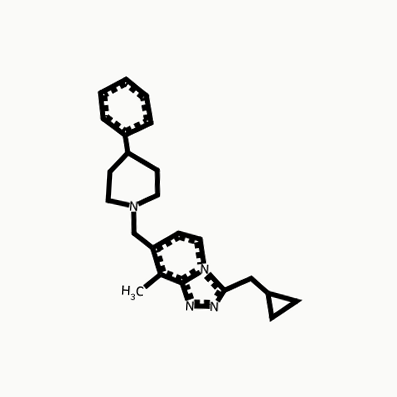 Cc1c(CN2CCC(c3ccccc3)CC2)ccn2c(CC3CC3)nnc12